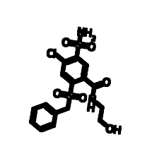 NS(=O)(=O)c1cc(C(=O)NCCO)c(S(=O)(=O)Cc2ccccc2)cc1Cl